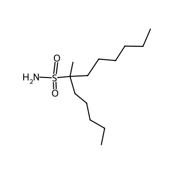 CCCCCCC(C)(CCCCC)S(N)(=O)=O